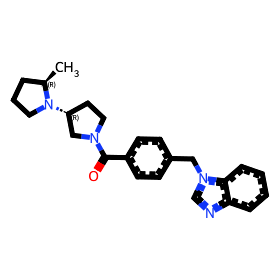 C[C@@H]1CCCN1[C@@H]1CCN(C(=O)c2ccc(Cn3cnc4ccccc43)cc2)C1